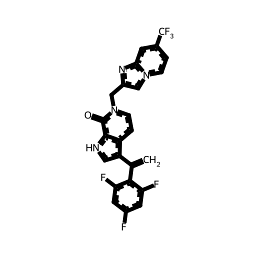 C=C(c1c(F)cc(F)cc1F)c1c[nH]c2c(=O)n(Cc3cn4ccc(C(F)(F)F)cc4n3)ccc12